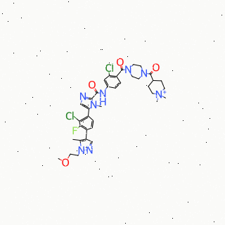 COCCn1ncc(-c2ccc(-c3cnc(C(=O)Nc4ccc(C(=O)N5CCN(C(=O)C6CC[N+](C)(C)CC6)CC5)c(Cl)c4)n3C)c(Cl)c2F)c1C